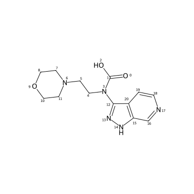 O=C(O)N(CCN1CCOCC1)c1n[nH]c2cnccc12